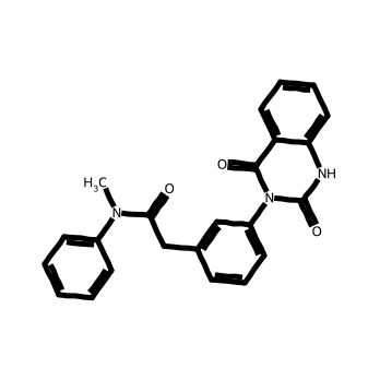 CN(C(=O)Cc1cccc(-n2c(=O)[nH]c3ccccc3c2=O)c1)c1ccccc1